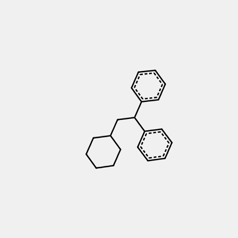 c1ccc(C(CC2CCCCC2)c2ccccc2)cc1